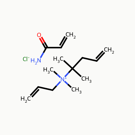 C=CC(N)=O.C=CCC(C)(C)[N+](C)(C)CC=C.[Cl-]